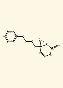 CC1(CCCCc2ccccc2)C=CCC(=O)C1